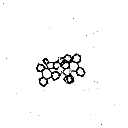 c1ccc(N(c2ccc3c(c2)C2(c4ccccc4-c4ccccc4-3)c3ccccc3-c3c2ccc2c3oc3ccccc32)c2cccc3c2N(c2ccccc2)c2ccccc2-c2ccccc2-3)cc1